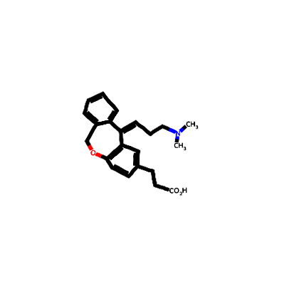 CN(C)CC/C=C1/c2ccccc2COc2ccc(CCC(=O)O)cc21